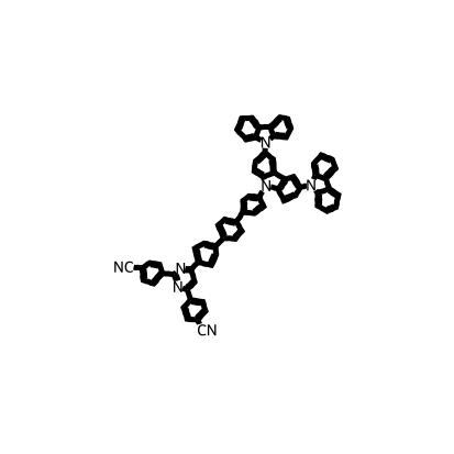 N#Cc1ccc(-c2cc(-c3ccc(-c4ccc(-c5ccc(-n6c7ccc(-n8c9ccccc9c9ccccc98)cc7c7cc(-n8c9ccccc9c9ccccc98)ccc76)cc5)cc4)cc3)nc(-c3ccc(C#N)cc3)n2)cc1